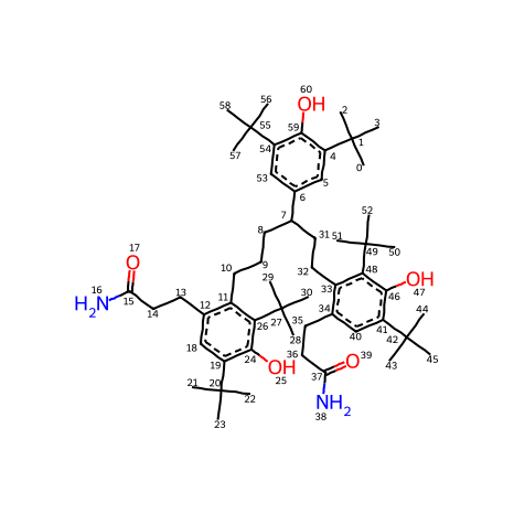 CC(C)(C)c1cc(C(CCCc2c(CCC(N)=O)cc(C(C)(C)C)c(O)c2C(C)(C)C)CCc2c(CCC(N)=O)cc(C(C)(C)C)c(O)c2C(C)(C)C)cc(C(C)(C)C)c1O